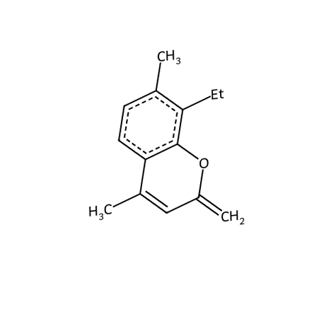 C=C1C=C(C)c2ccc(C)c(CC)c2O1